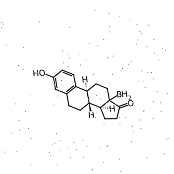 BC12CC[C@@H]3c4ccc(O)cc4CC[C@H]3[C@@H]1CCC2=O